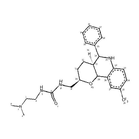 CN(C)CCNC(=O)NC[C@H]1CC[C@H]2C(c3ccccc3)Nc3ccc(C(F)(F)F)cc3C2O1